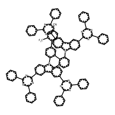 N#Cc1ccc(-c2ccc(-n3c4ccc(-c5nc(-c6ccccc6)nc(-c6ccccc6)n5)cc4c4cc(-c5nc(-c6ccccc6)nc(-c6ccccc6)n5)ccc43)c(-c3c(C#N)cccc3-n3c4ccc(-c5nc(-c6ccccc6)nc(-c6ccccc6)n5)cc4c4cc(-c5nc(-c6ccccc6)nc(-c6ccccc6)n5)ccc43)c2)c(C(F)(F)F)c1